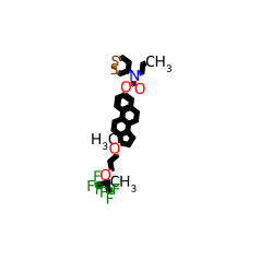 CCCN(C(=O)Oc1ccc2c(c1)CCC1C2CCC2(C)C(OCCCOC(C)(C(F)(F)F)C(F)(F)F)CCC12)C1CCSSC1